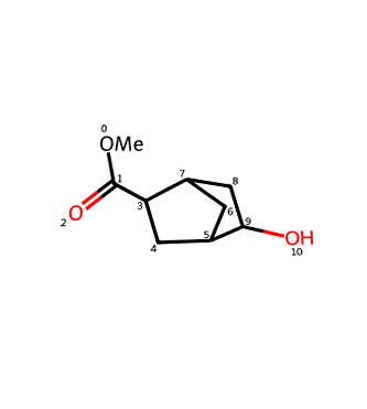 COC(=O)C1CC2CC1CC2O